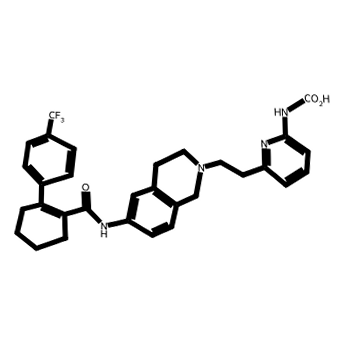 O=C(O)Nc1cccc(CCN2CCc3cc(NC(=O)C4=C(c5ccc(C(F)(F)F)cc5)CCCC4)ccc3C2)n1